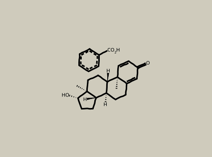 C[C@]12CC[C@H]3[C@@H](CCC4=CC(=O)C=C[C@@]43C)[C@@H]1CC[C@@H]2O.O=C(O)c1ccccc1